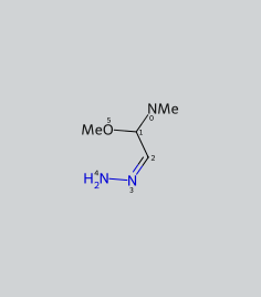 CNC(/C=N\N)OC